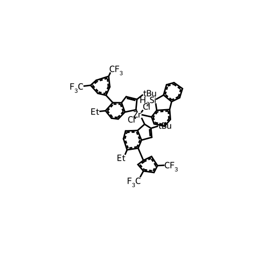 CCc1ccc2c(c1-c1cc(C(F)(F)F)cc(C(F)(F)F)c1)C=C(C(C)(C)C)[CH]2[Zr]([Cl])([Cl])([c]1cccc2c1[SiH2]c1ccccc1-2)[CH]1C(C(C)(C)C)=Cc2c1ccc(CC)c2-c1cc(C(F)(F)F)cc(C(F)(F)F)c1